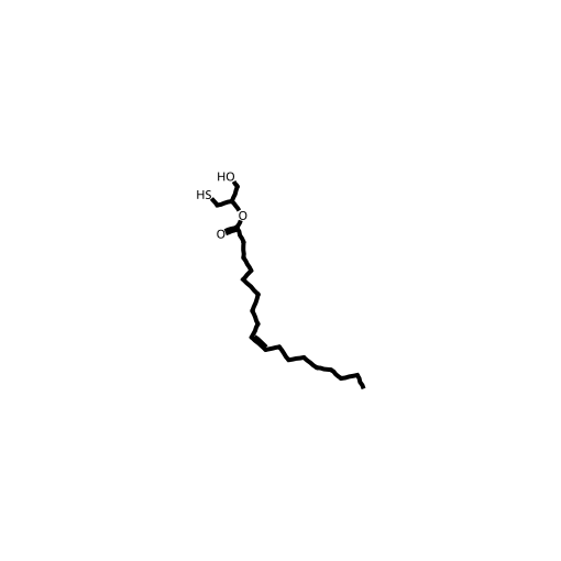 CCCCCCCC/C=C\CCCCCCCC(=O)OC(CO)CS